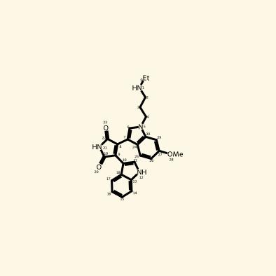 CCNCCCn1cc(C2=C(c3c[nH]c4ccccc34)C(=O)NC2=O)c2ccc(OC)cc21